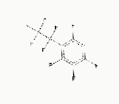 CC(F)(F)C(F)(F)c1c(F)[c]c(F)c(F)c1F